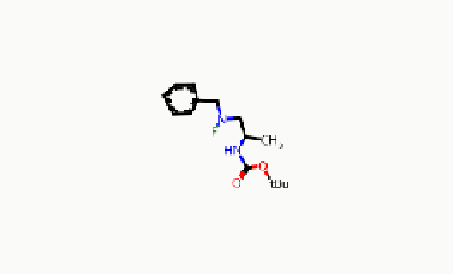 CC(CN(F)Cc1ccccc1)NC(=O)OC(C)(C)C